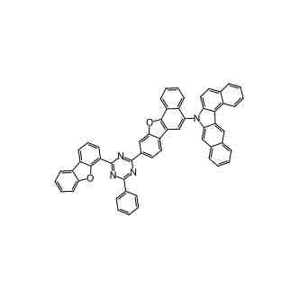 c1ccc(-c2nc(-c3ccc4c(c3)oc3c5ccccc5c(-n5c6cc7ccccc7cc6c6c7ccccc7ccc65)cc43)nc(-c3cccc4c3oc3ccccc34)n2)cc1